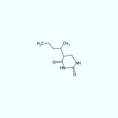 CCCC(C)C1CNC(=O)NC1=O